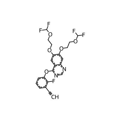 C#Cc1cccc(Oc2ncnc3cc(OCCOC(F)F)c(OCCOC(F)F)cc23)c1F